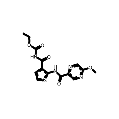 CCOC(=O)NC(=O)c1ccsc1NC(=O)c1cnc(OC)cn1